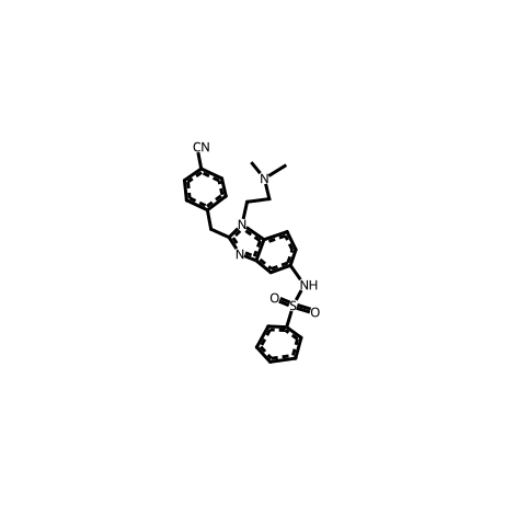 CN(C)CCn1c(Cc2ccc(C#N)cc2)nc2cc(NS(=O)(=O)c3ccccc3)ccc21